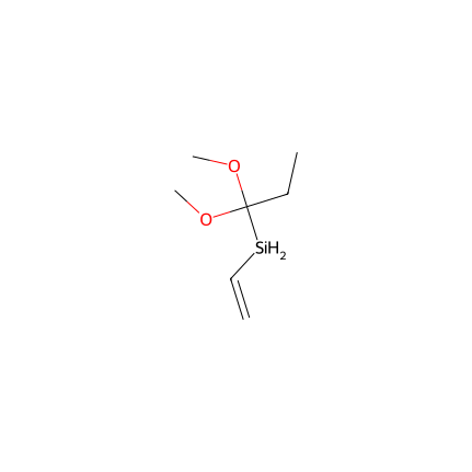 C=C[SiH2]C(CC)(OC)OC